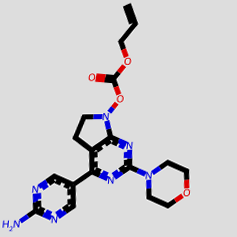 C=CCOC(=O)ON1CCc2c(-c3cnc(N)nc3)nc(N3CCOCC3)nc21